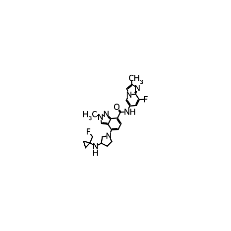 Cc1cn2cc(NC(=O)c3ccc(N4CCC(NC5(CF)CC5)C4)c4cn(C)nc34)cc(F)c2n1